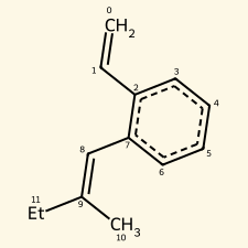 C=Cc1ccccc1/C=C(\C)CC